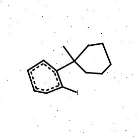 CC1(c2ccccc2I)CCCCC1